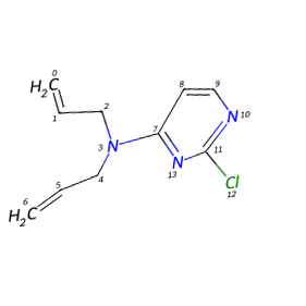 C=CCN(CC=C)c1ccnc(Cl)n1